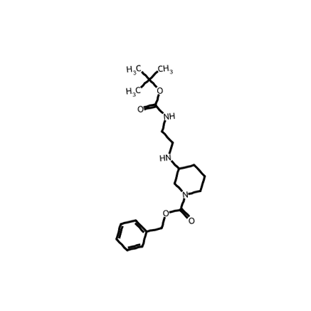 CC(C)(C)OC(=O)NCCNC1CCCN(C(=O)OCc2ccccc2)C1